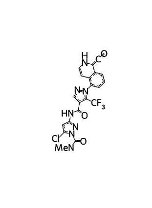 CNC(=O)n1nc(NC(=O)c2cnn(-c3cccc4c3C=CNC4=C=O)c2C(F)(F)F)cc1Cl